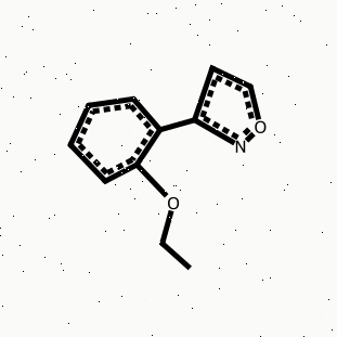 CCOc1ccccc1-c1ccon1